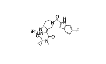 CC(C)OCC1(N(C)C(=O)c2[nH]nc3c2CN(C(=O)c2cc4ccc(F)cc4[nH]2)CC3)CC1